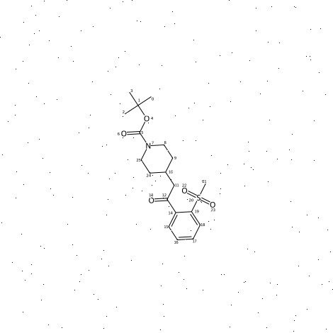 CC(C)(C)OC(=O)N1CCC(CC(=O)c2ccccc2S(C)(=O)=O)CC1